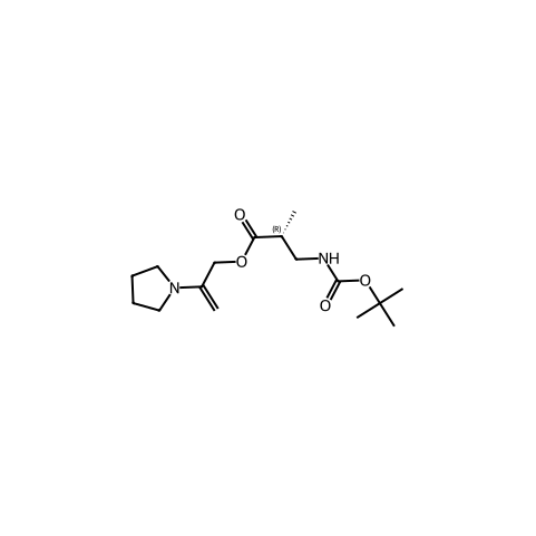 C=C(COC(=O)[C@H](C)CNC(=O)OC(C)(C)C)N1CCCC1